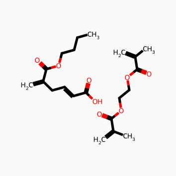 C=C(C)C(=O)OCCOC(=O)C(=C)C.C=C(CC=CC(=O)O)C(=O)OCCCC